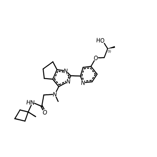 C[C@H](O)COc1ccnc(-c2nc3c(c(N(C)CC(=O)NC4(C)CCC4)n2)CCC3)c1